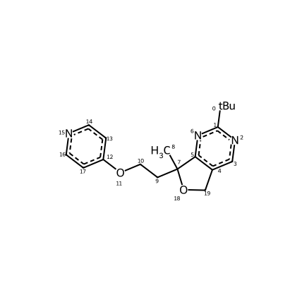 CC(C)(C)c1ncc2c(n1)C(C)(CCOc1ccncc1)OC2